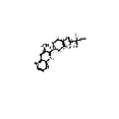 Cc1cc2nccnc2nc1N1CCc2nc(C(F)(F)F)sc2C1